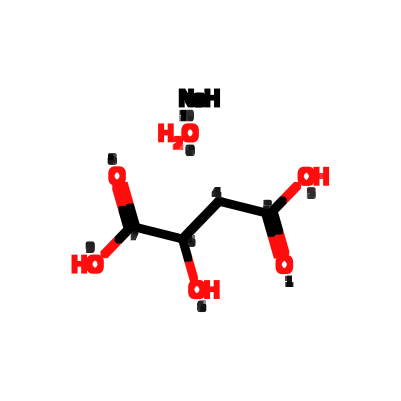 O.O=C(O)CC(O)C(=O)O.[NaH]